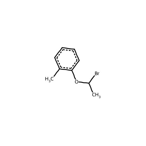 Cc1ccccc1OC(C)Br